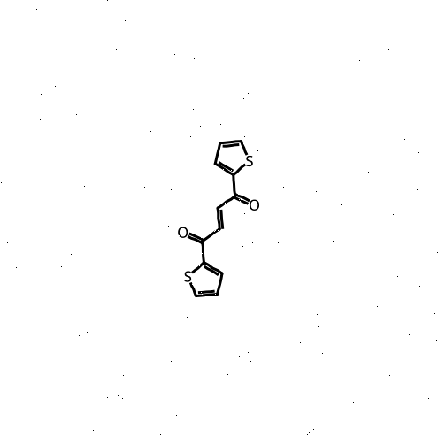 O=C(C=CC(=O)c1cccs1)c1cccs1